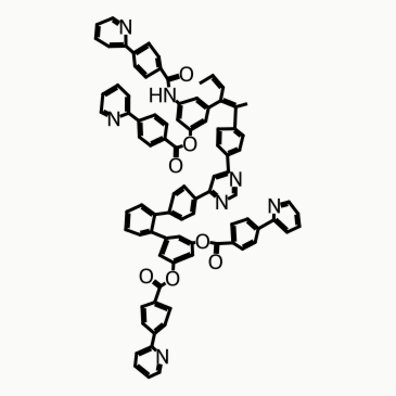 C/C=C\C(=C(/C)c1ccc(-c2cc(-c3ccc(-c4ccccc4-c4cc(OC(=O)c5ccc(-c6ccccn6)cc5)cc(OC(=O)c5ccc(-c6ccccn6)cc5)c4)cc3)ncn2)cc1)c1cc(NC(=O)c2ccc(-c3ccccn3)cc2)cc(OC(=O)c2ccc(-c3ccccn3)cc2)c1